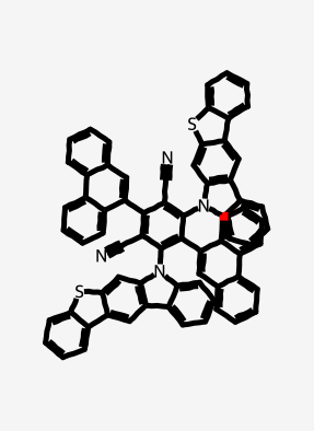 N#Cc1c(-c2cc3ccccc3c3ccccc23)c(C#N)c(-n2c3ccccc3c3cc4c(cc32)sc2ccccc24)c(-c2cc3ccccc3c3ccccc23)c1-n1c2ccccc2c2cc3c(cc21)sc1ccccc13